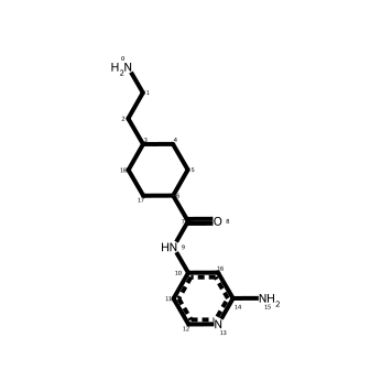 NCCC1CCC(C(=O)Nc2ccnc(N)c2)CC1